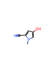 Cn1cc(O)cc1C#N